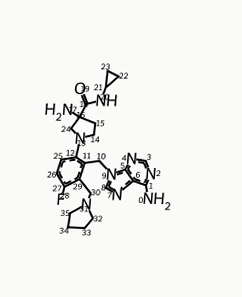 Nc1ncnc2c1ncn2Cc1c(N2CCC(N)(C(=O)NC3CC3)C2)ccc(F)c1CN1CCCC1